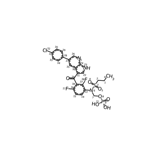 CCCS(=O)(=O)N(COP(=O)(O)O)c1ccc(F)c(C(=O)c2c[nH]c3ncc(-c4ccc(Cl)cc4)cc23)c1F